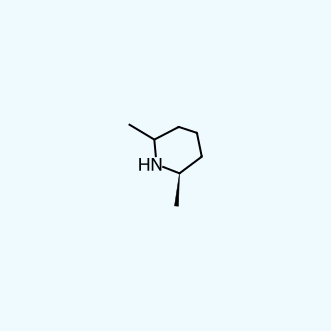 CC1CCC[C@@H](C)N1